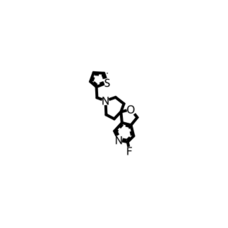 Fc1cc2c(cn1)C1(CCN(Cc3cc[c]s3)CC1)OC2